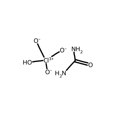 NC(N)=O.[O-][Cl+3]([O-])([O-])O